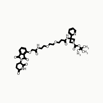 CC(C)(C)OC(=O)N1CC(NC(=O)CCOCCOCCNC(=O)COc2cccc3c2C(=O)N(C2CCC(=O)NC2=O)C3=O)(c2ccccn2)C1